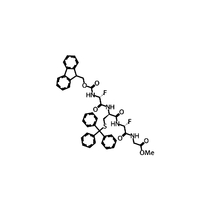 COC(=O)CNC(=O)[C@@H](F)NC(=O)[C@@H](CSC(c1ccccc1)(c1ccccc1)c1ccccc1)NC(=O)[C@@H](F)NC(=O)OCC1c2ccccc2-c2ccccc21